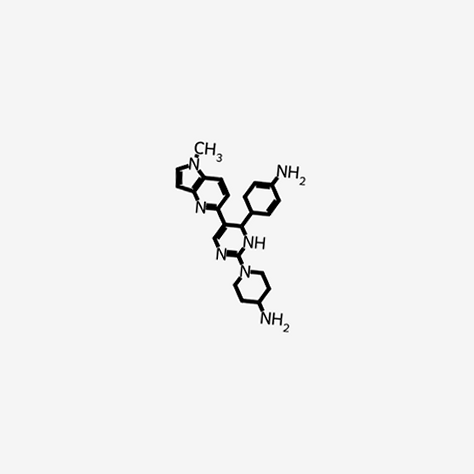 Cn1ccc2nc(C3=CN=C(N4CCC(N)CC4)NC3C3C=CC(N)=CC3)ccc21